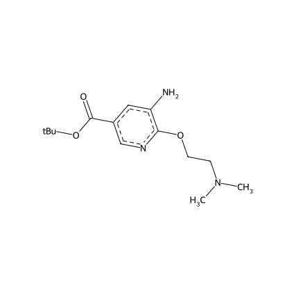 CN(C)CCOc1ncc(C(=O)OC(C)(C)C)cc1N